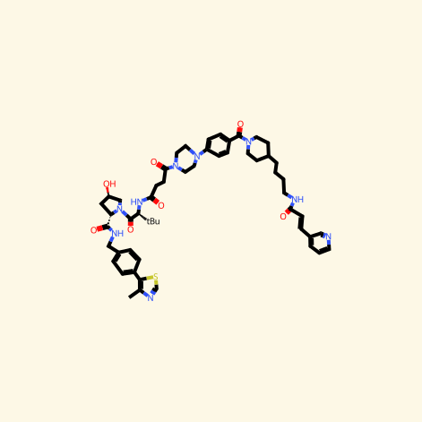 Cc1ncsc1-c1ccc(CNC(=O)[C@@H]2C[C@@H](O)CN2C(=O)[C@@H](NC(=O)CCC(=O)N2CCN(c3ccc(C(=O)N4CCC(CCCCNC(=O)/C=C/c5cccnc5)CC4)cc3)CC2)C(C)(C)C)cc1